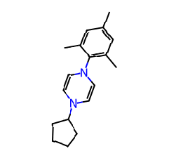 Cc1cc(C)c(N2C=CN(C3CCCC3)C=C2)c(C)c1